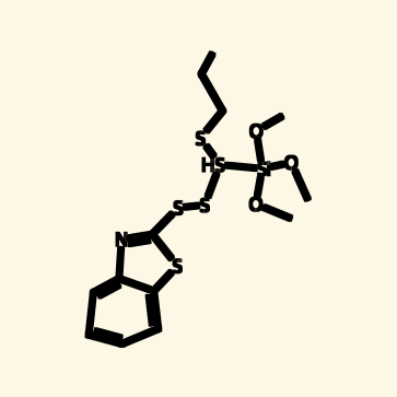 CCCS[SH](SSc1nc2ccccc2s1)[Si](OC)(OC)OC